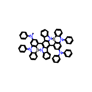 CN(c1ccccc1)c1cc2c3c(c1)N(c1ccccc1)c1ccccc1B3n1c3ccccc3c3c4c5c(c-2c31)c1ccccc1n5B1c2ccccc2N(c2ccccc2)c2cc(N(c3ccccc3)c3ccccc3)cc-4c21